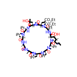 C/C=C/C[C@@H](C)[C@@H](O)[C@H]1C(=O)N[C@@H](CC)C(=O)N(C)[C@H](CC(C(=O)OCC)C(=O)OCC)C(=O)N(C)[C@@H](CC(C)(C)O)C(=O)N[C@@H](C(C)C)C(=O)N(C)[C@@H](CC(C)C)C(=O)N[C@@H](C)C(=O)N[C@H](C)C(=O)N(C)[C@@H](CC(C)C)C(=O)N(C)[C@@H](CC(C)C)C(=O)N(C)[C@@H](C(C)C)C(=O)N1C